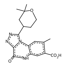 Cc1cc2c(cc1C(=O)O)[nH]c(=O)c1nnc(C3CCOC(C)(C)C3)n12